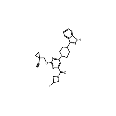 C#CC1(COc2nc(C(=O)N3CC(F)C3)cc(N3CCC(c4n[nH]c5ncccc45)CC3)n2)CC1